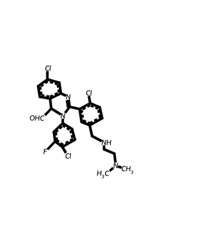 CN(C)CCNCc1ccc(Cl)c(C2=Nc3cc(Cl)ccc3C(C=O)N2c2ccc(Cl)c(F)c2)c1